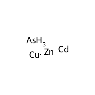 [AsH3].[Cd].[Cu].[Zn]